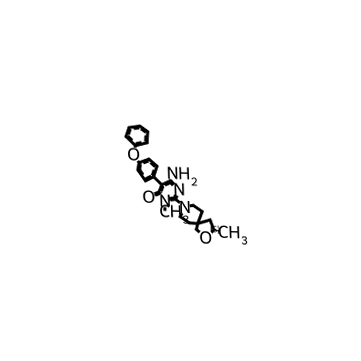 C[C@H]1CC2(CCN(c3nc(N)c(-c4ccc(Oc5ccccc5)cc4)c(=O)n3C)CC2)CO1